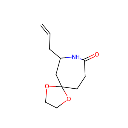 C=CCC1CC2(CCC(=O)N1)OCCO2